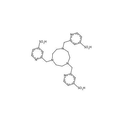 O=S(=O)(O)c1ccnc(CN2CCN(Cc3cc(S(=O)(=O)O)ccn3)CCN(Cc3cc(S(=O)(=O)O)ccn3)CC2)c1